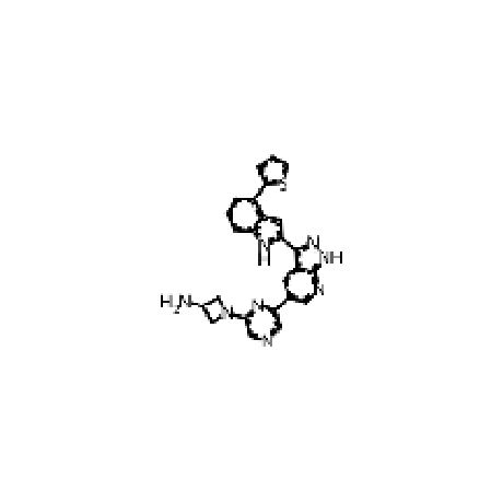 NC1CN(c2cncc(-c3cnc4[nH]nc(-c5cc6c(-c7cccs7)cccc6[nH]5)c4c3)n2)C1